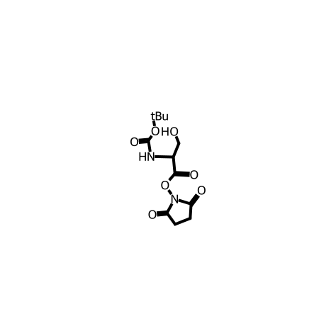 CC(C)(C)OC(=O)NC(CO)C(=O)ON1C(=O)CCC1=O